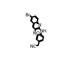 N#CCc1ccc(Nc2nc3ccc(Br)cc3cc2[N+](=O)[O-])cc1